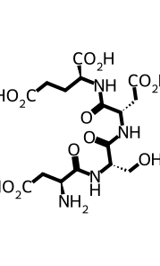 N[C@@H](CC(=O)O)C(=O)N[C@@H](CO)C(=O)N[C@@H](CC(=O)O)C(=O)N[C@@H](CCC(=O)O)C(=O)O